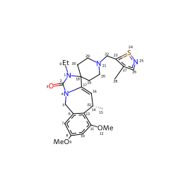 CCN1C(=O)N2Cc3cc(OC)cc(OC)c3[C@@H](C)C=C2C12CCN(Cc1sncc1C)CC2